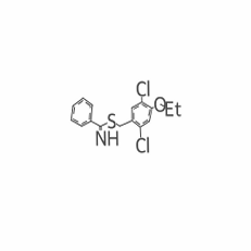 CCOc1cc(Cl)c(CSC(=N)c2ccccc2)cc1Cl